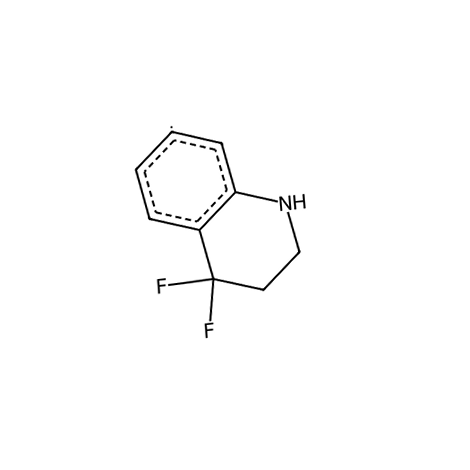 FC1(F)CCNc2c[c]ccc21